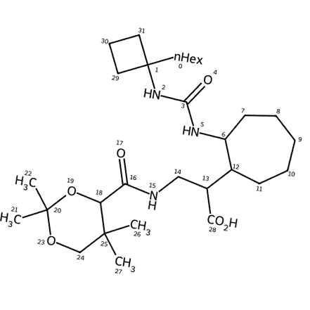 CCCCCCC1(NC(=O)NC2CCCCCC2C(CNC(=O)C2OC(C)(C)OCC2(C)C)C(=O)O)CCC1